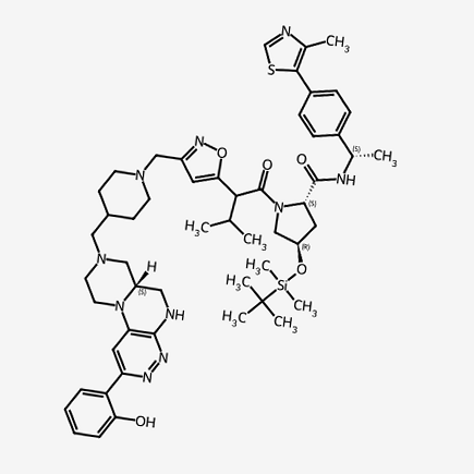 Cc1ncsc1-c1ccc([C@H](C)NC(=O)[C@@H]2C[C@@H](O[Si](C)(C)C(C)(C)C)CN2C(=O)C(c2cc(CN3CCC(CN4CCN5c6cc(-c7ccccc7O)nnc6NC[C@H]5C4)CC3)no2)C(C)C)cc1